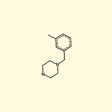 Cc1cccc(CN2CC[N]CC2)c1